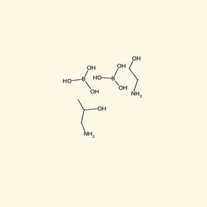 CC(O)CN.NCCO.OB(O)O.OB(O)O